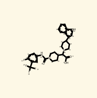 O=C(O)C(C1CCN(C(=O)Nc2ccc(F)c(C(F)(F)F)c2)CC1)N1CCC(c2c[nH]c3ccccc23)CC1